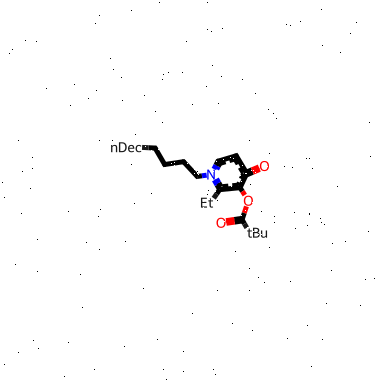 CCCCCCCCCCCCCCn1ccc(=O)c(OC(=O)C(C)(C)C)c1CC